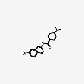 CN(C)C1CCC(C(=O)Nc2cc3cc(Br)ccc3cn2)CC1